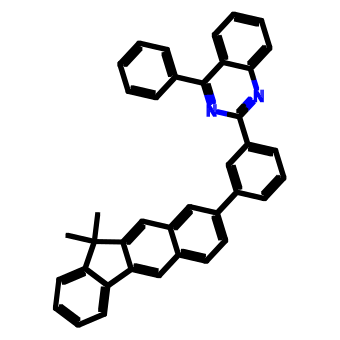 CC1(C)c2ccccc2-c2cc3ccc(-c4cccc(-c5nc(-c6ccccc6)c6ccccc6n5)c4)cc3cc21